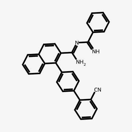 N#Cc1ccccc1-c1ccc(-c2c(/C(N)=N/C(=N)c3ccccc3)ccc3ccccc23)cc1